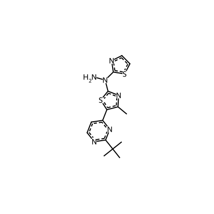 Cc1nc(N(N)c2nccs2)sc1-c1ccnc(C(C)(C)C)n1